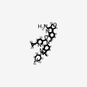 Cc1c2ccc(N(Cc3ccc4c5c(c(N)nc4c3)COC5)C(=O)c3ccc(C4CC4)nc3)cc2nn1C1CCN(C)CC1